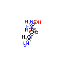 CN(Cc1ccc(N)cc1)c1ccc2c(c1)Oc1cc(Nc3ccc(SO)c(N)c3)ccc1C2c1ccccc1S(=O)(=O)O